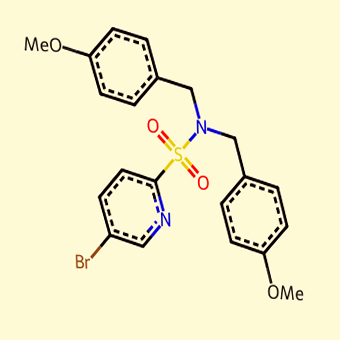 COc1ccc(CN(Cc2ccc(OC)cc2)S(=O)(=O)c2ccc(Br)cn2)cc1